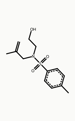 C=C(C)CN(CCO)S(=O)(=O)c1ccc(C)cc1